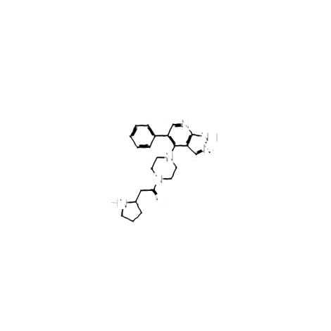 O=C(CC1CCCN1)N1CCN(c2c(-c3ccccc3)cnc3[nH]ncc23)CC1